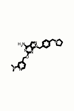 CN(C)c1cc(COc2nc(N)c3cnn(Cc4ccc(CN5CCCC5)cc4)c3n2)ccn1